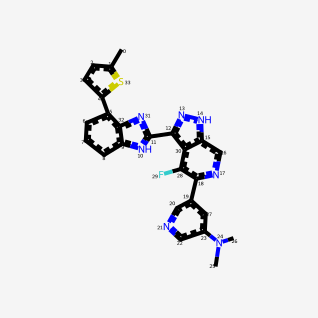 Cc1ccc(-c2cccc3[nH]c(-c4n[nH]c5cnc(-c6cncc(N(C)C)c6)c(F)c45)nc23)s1